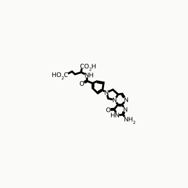 Nc1nc2c(c(=O)[nH]1)N1CN(c3ccc(C(=O)NC(CCC(=O)O)C(=O)O)cc3)CC1C=N2